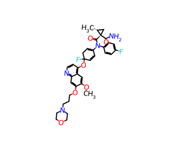 COc1cc2c(OC3(F)C=CC(N(C(=O)[C@]4(C(N)=O)C[C@H]4C)c4ccc(F)cc4)=CC3)ccnc2cc1OCCCN1CCOCC1